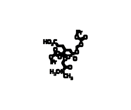 CC(C)OC(=O)OCOP(=O)(CC(CCC(=O)O)C(=O)OCC(=O)N(C)C)OCOC(=O)OC(C)C